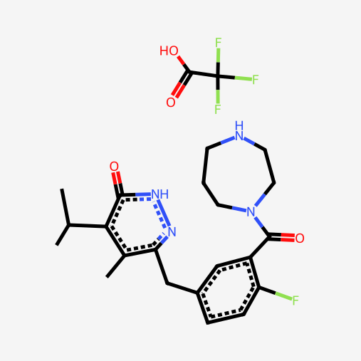 Cc1c(Cc2ccc(F)c(C(=O)N3CCCNCC3)c2)n[nH]c(=O)c1C(C)C.O=C(O)C(F)(F)F